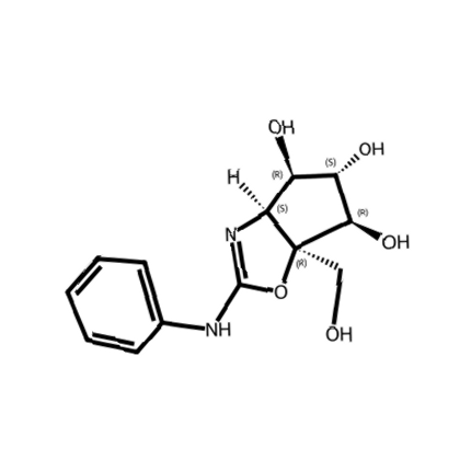 OC[C@]12OC(Nc3ccccc3)=N[C@H]1[C@@H](O)[C@H](O)[C@H]2O